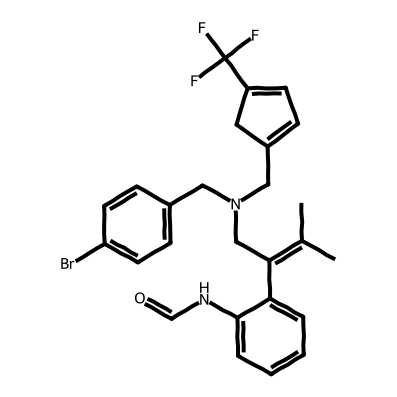 CC(C)=C(CN(CC1=CC=C(C(F)(F)F)C1)Cc1ccc(Br)cc1)c1ccccc1NC=O